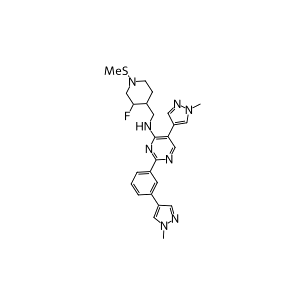 CSN1CCC(CNc2nc(-c3cccc(-c4cnn(C)c4)c3)ncc2-c2cnn(C)c2)C(F)C1